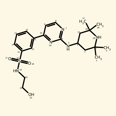 CC1(C)CC(Nc2nccc(-c3cccc(S(=O)(=O)NCCO)c3)n2)CC(C)(C)N1